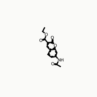 CCOC(=O)c1cc2ccc(NC(C)=O)cc2oc1=O